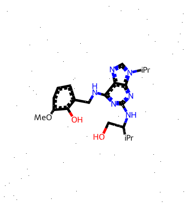 COc1cccc(CNc2nc(NC(CO)C(C)C)nc3c2ncn3C(C)C)c1O